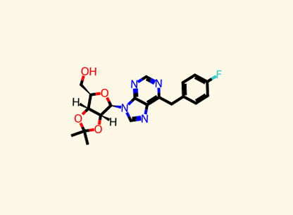 CC1(C)O[C@@H]2[C@H](O1)[C@@H](CO)O[C@H]2n1cnc2c(Cc3ccc(F)cc3)ncnc21